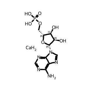 Nc1ncnc2c1ncn2[C@@H]1O[C@H](COP(=O)(O)O)[C@@H](O)[C@H]1O.[CaH2]